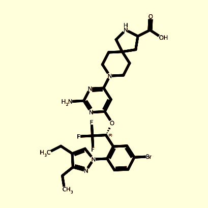 CCc1cn(-c2ccc(Br)cc2[C@@H](Oc2cc(N3CCC4(CC3)CNC(C(=O)O)C4)nc(N)n2)C(F)(F)F)nc1CC